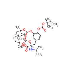 CCC(C)(C)OC(=O)Oc1ccc(C[C@](NC(C)C)(OC(=O)OC(C)(C)CC)C(=O)O)cc1OC(=O)OC(C)(C)CC